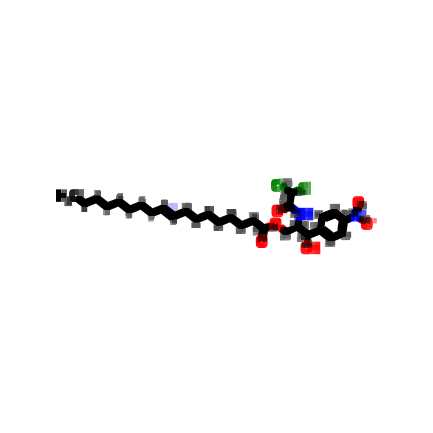 CCCCCCCC/C=C/CCCCCCCC(=O)OC[C@@H](NC(=O)C(Cl)Cl)[C@H](O)c1ccc([N+](=O)[O-])cc1